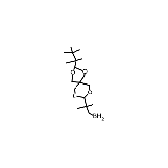 BCC(C)(C)C1OCC2(CO1)COC(C(C)(C)C(C)(C)C)OC2